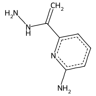 C=C(NN)c1cccc(N)n1